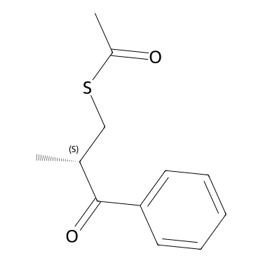 CC(=O)SC[C@@H](C)C(=O)c1ccccc1